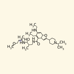 CCNC1=CC2OC(C3CCN(C(C)C)CC3)=CC2C(C(=O)NCC(C)C(O)N/C(C)=C\COC)=C1CC